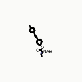 C/C=C(\NC)C(=O)Oc1ccc(C#Cc2ccc(C)cc2)cc1